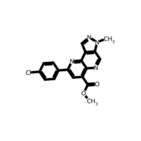 COC(=O)c1cc(-c2ccc(Cl)cc2)nc2c1ncc1c2cnn1C